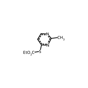 CCOC(=O)Sc1ccnc(C)n1